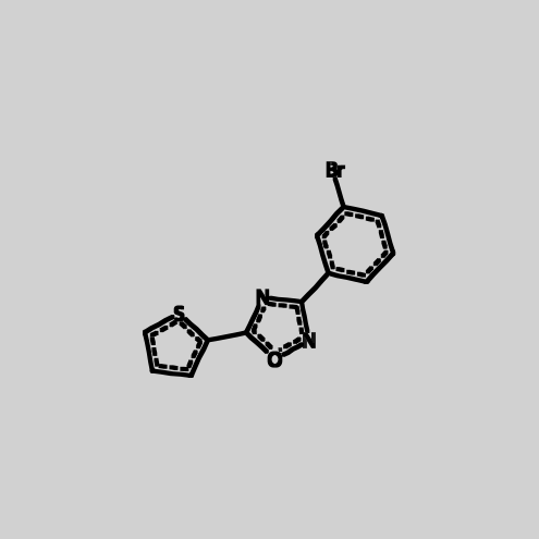 Brc1cccc(-c2noc(-c3cccs3)n2)c1